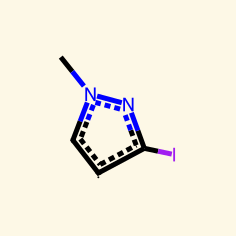 Cn1c[c]c(I)n1